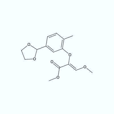 CO/C=C(\Oc1cc(C2OCCO2)ccc1C)C(=O)OC